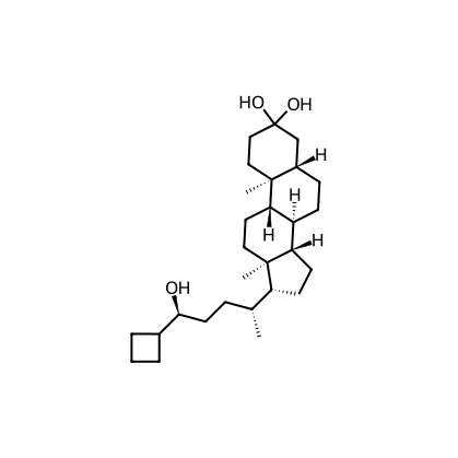 C[C@H](CC[C@H](O)C1CCC1)[C@H]1CC[C@H]2[C@@H]3CC[C@H]4CC(O)(O)CC[C@]4(C)[C@H]3CC[C@]12C